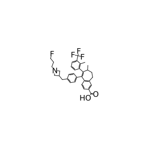 Cc1c(C2=C(c3ccc(CC4CN(CCCF)C4)cc3)c3ccc(C(=O)O)cc3CCC2C)cccc1C(F)(F)F